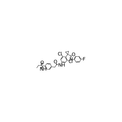 CCS(=N)(=O)c1ccc(CC(=O)Nc2cc(Cl)c(C3(c4nc5ccc(F)cc5o4)CC3)c(Cl)c2)cc1